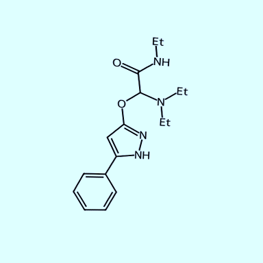 CCNC(=O)C(Oc1cc(-c2ccccc2)[nH]n1)N(CC)CC